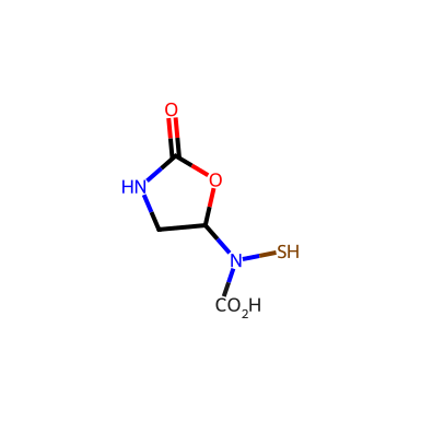 O=C1NCC(N(S)C(=O)O)O1